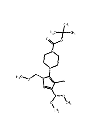 COCn1nc(C(OC)OC)c(I)c1N1CCN(C(=O)OC(C)(C)C)CC1